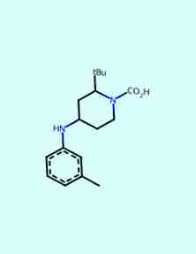 Cc1cccc(NC2CCN(C(=O)O)C(C(C)(C)C)C2)c1